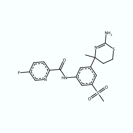 CC1(c2cc(NC(=O)c3ccc(F)cn3)cc(S(C)(=O)=O)c2)CCSC(N)=N1